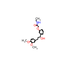 CCNC(=O)COc1cccc([C@H](O)CCc2ccc(OC)c(OC)c2)c1